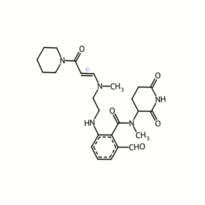 CN(/C=C/C(=O)N1CCCCC1)CCNc1cccc(C=O)c1C(=O)N(C)C1CCC(=O)NC1=O